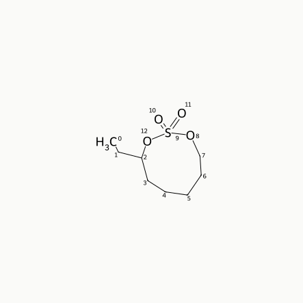 CCC1CCCCCOS(=O)(=O)O1